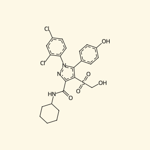 O=C(NC1CCCCC1)c1nn(-c2ccc(Cl)cc2Cl)c(-c2ccc(O)cc2)c1S(=O)(=O)CO